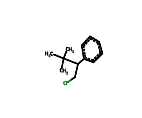 CC(C)(C)C(CCl)c1ccccc1